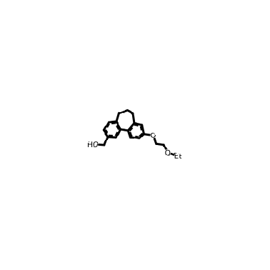 CCOCCOc1ccc2c(c1)CCCc1ccc(CO)cc1-2